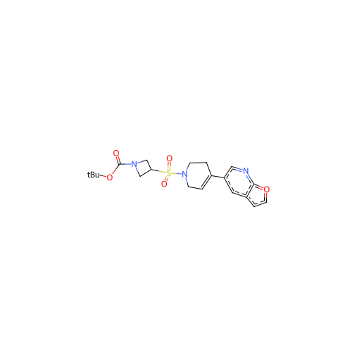 CC(C)(C)OC(=O)N1CC(S(=O)(=O)N2CC=C(c3cnc4occc4c3)CC2)C1